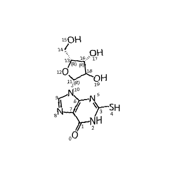 O=c1[nH]c(S)nc2c1ncn2[C@@H]1O[C@H](CO)[C@H](O)C1O